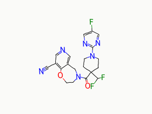 N#Cc1cncc2c1OCCN(C(=O)C1(C(F)F)CCN(c3ncc(F)cn3)CC1)C2